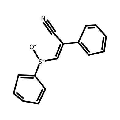 N#CC(=C[S+]([O-])c1ccccc1)c1ccccc1